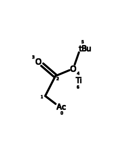 CC(=O)CC(=O)OC(C)(C)C.[Ti]